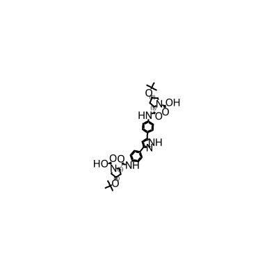 CC(C)(C)O[C@@H]1C[C@@H](C(=O)Nc2ccc(-c3cc(-c4ccc(NC(=O)[C@@H]5C[C@@H](OC(C)(C)C)CN5C(=O)O)cc4)[nH]n3)cc2)N(C(=O)O)C1